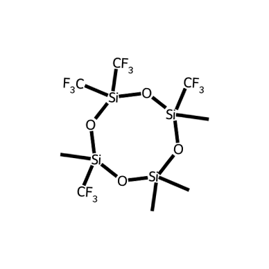 C[Si]1(C)O[Si](C)(C(F)(F)F)O[Si](C(F)(F)F)(C(F)(F)F)O[Si](C)(C(F)(F)F)O1